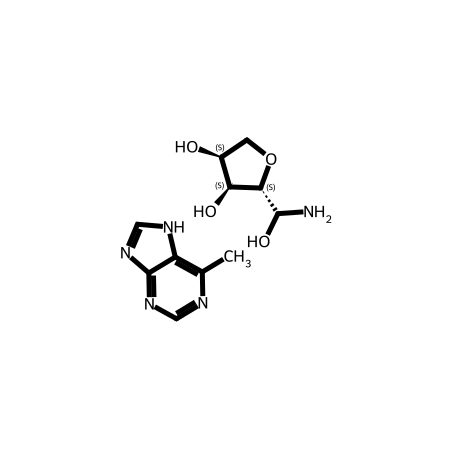 Cc1ncnc2nc[nH]c12.NC(O)[C@H]1OC[C@H](O)[C@@H]1O